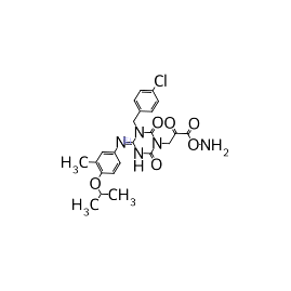 Cc1cc(/N=c2\[nH]c(=O)n(CC(=O)C(=O)ON)c(=O)n2Cc2ccc(Cl)cc2)ccc1OC(C)C